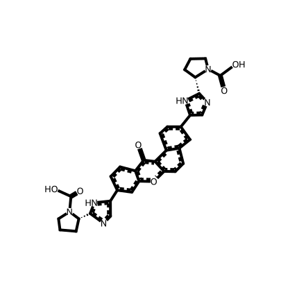 O=C(O)N1CCC[C@H]1c1ncc(-c2ccc3c(ccc4oc5cc(-c6cnc([C@@H]7CCCN7C(=O)O)[nH]6)ccc5c(=O)c43)c2)[nH]1